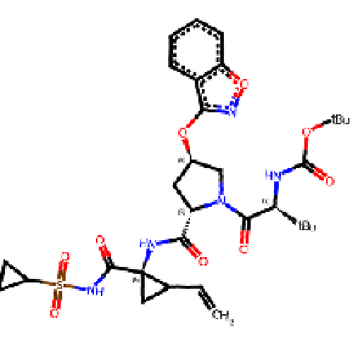 C=CC1C[C@]1(NC(=O)[C@@H]1C[C@@H](Oc2noc3ccccc23)CN1C(=O)[C@@H](NC(=O)OC(C)(C)C)C(C)(C)C)C(=O)NS(=O)(=O)C1CC1